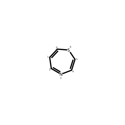 [C]1=C[C]=NC=CS1